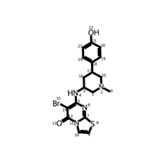 CN1CC(Nc2nc3sccn3c(=O)c2Br)CC(c2ccc(O)cc2)C1